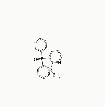 BOc1ncccc1P(=O)(c1ccccc1)c1ccccc1